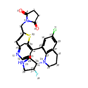 O=C1CCC(=O)N1Cc1cc2nccc(-c3cc(Cl)cc4c3N([C@H]3CNC[C@@H]3F)CCC4)c2s1